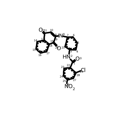 O=C(Nc1cccc(NC2=CC(=O)c3ccccc3C2=O)c1)c1ccc([N+](=O)[O-])cc1Cl